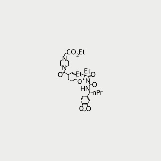 CCC[C@@H](NC(=O)N1C(=O)C(CC)(CC)[C@@H]1Oc1ccc(C(=O)N2CCN(CC(=O)OCC)CC2)cc1)c1ccc2c(c1)OCO2